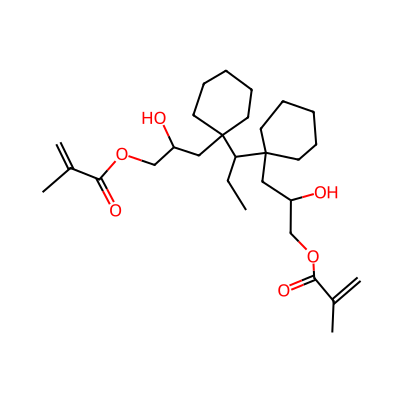 C=C(C)C(=O)OCC(O)CC1(C(CC)C2(CC(O)COC(=O)C(=C)C)CCCCC2)CCCCC1